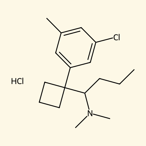 CCCC(N(C)C)C1(c2cc(C)cc(Cl)c2)CCC1.Cl